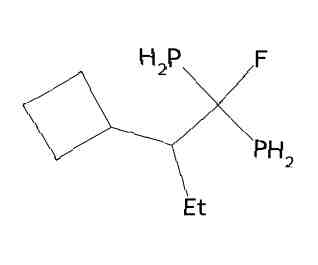 CCC(C1CCC1)C(F)(P)P